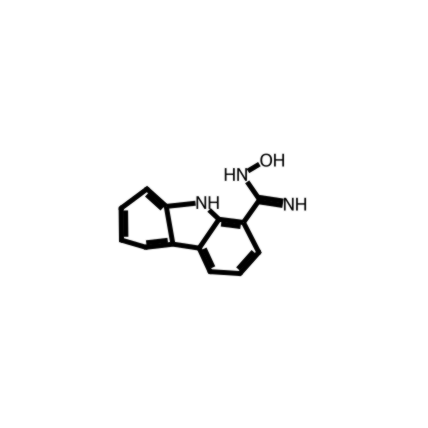 N=C(NO)c1cccc2c1[nH]c1ccccc12